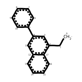 [CH2]Cc1cc(-c2ccccc2)cc2ccccc12